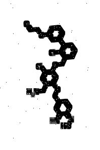 N=C1C=C(COc2cc(OCc3cccc(-c4cccc(OCC=O)c4)c3Cl)c(Cl)cc2CN)C=C/C1=N/O